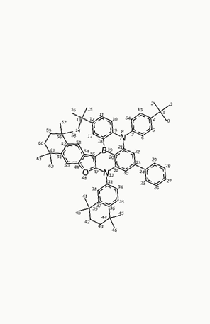 CC(C)(C)c1ccc(N2c3ccc(C(C)(C)C)cc3B3c4c2cc(-c2ccccc2)cc4N(c2ccc4c(c2)C(C)(C)CCC4(C)C)c2oc4cc5c(cc4c23)C(C)(C)CCC5(C)C)cc1